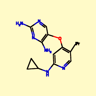 CC(C)c1cnc(NC2CC2)cc1Oc1cnc(N)nc1N